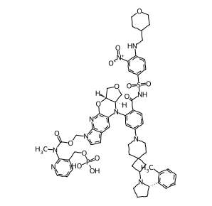 Cc1ccccc1[C@@H]1CCCN1C1CC2(CCN(c3ccc(C(=O)NS(=O)(=O)c4ccc(NCC5CCOCC5)c([N+](=O)[O-])c4)c(N4c5cc6ccn(COC(=O)N(C)c7ncccc7COP(=O)(O)O)c6nc5O[C@@H]5COC[C@H]54)c3)CC2)C1